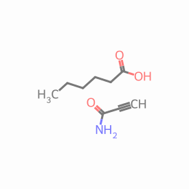 C#CC(N)=O.CCCCCC(=O)O